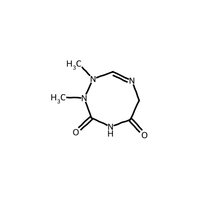 CN1C=NCC(=O)NC(=O)N1C